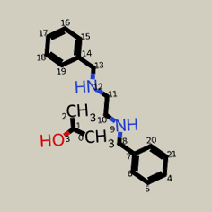 CC(C)O.c1ccc(CNCCNCc2ccccc2)cc1